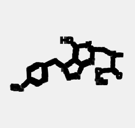 CN(Cc1nc(O)c2c(ncn2Cc2ccc(C(C)(C)C)cc2)n1)C(=O)OC(C)(C)C